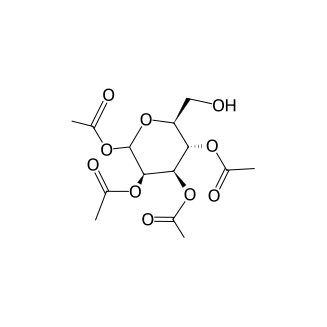 CC(=O)OC1O[C@@H](CO)[C@H](OC(C)=O)[C@@H](OC(C)=O)[C@H]1OC(C)=O